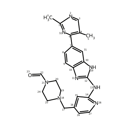 Cc1ncc(C)c(-c2ccc3nc(Nc4cc(CN5CCN(C=O)CC5)ccn4)[nH]c3c2)n1